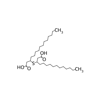 CCCCCCCCCCCCC(CC(=O)O)SC(CCCCCCCCCCCC)CC(=O)O